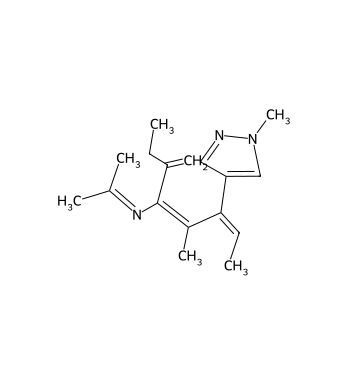 C=C(CC)/C(N=C(C)C)=C(C)\C(=C/C)c1cnn(C)c1